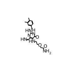 Cc1ccc(CNc2nc(C=N)c(NCCOCC(N)=O)c(=O)[nH]2)cc1C